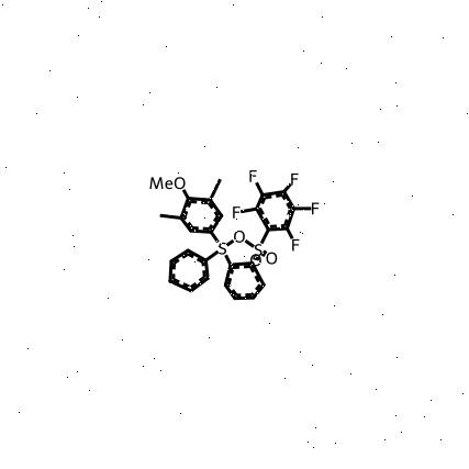 COc1c(C)cc(S(OS(=O)(=O)c2c(F)c(F)c(F)c(F)c2F)(c2ccccc2)c2ccccc2)cc1C